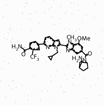 COc1cc(C(=O)N2CC3CCC2C3N)cc2nc(-c3cc4ccc(-c5ccc(C(N)=O)c(C(F)(F)F)c5)nc4n3CC3CC3)n(C)c12